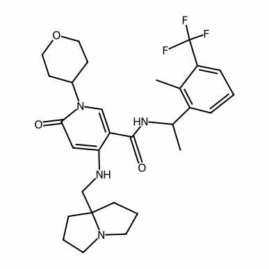 Cc1c(C(C)NC(=O)c2cn(C3CCOCC3)c(=O)cc2NCC23CCCN2CCC3)cccc1C(F)(F)F